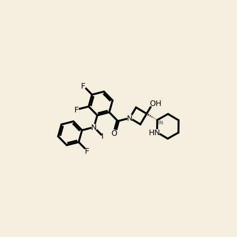 O=C(c1ccc(F)c(F)c1N(I)c1ccccc1F)N1CC(O)([C@@H]2CCCCN2)C1